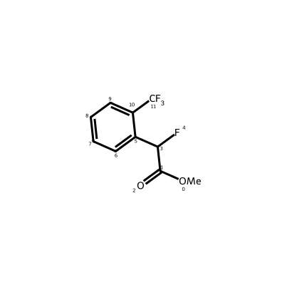 COC(=O)C(F)c1ccccc1C(F)(F)F